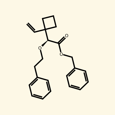 C=CC1([C@H](OCCc2ccccc2)C(=O)OCc2ccccc2)CCC1